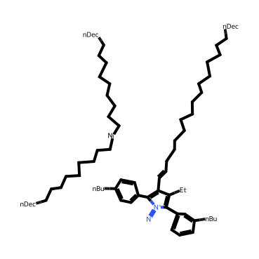 CCCCCCCCCCCCCCCCCCCCCCCCC=CC1=C(c2ccc(CCCC)cc2)[N+](=[N-])C(c2cccc(CCCC)c2)=C1CC.CCCCCCCCCCCCCCCCCC[CH2][Ni][CH2]CCCCCCCCCCCCCCCCCC